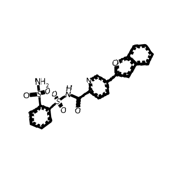 NS(=O)(=O)c1ccccc1S(=O)(=O)NC(=O)c1ccc(-c2cc3ccccc3o2)cn1